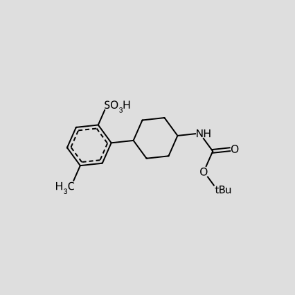 Cc1ccc(S(=O)(=O)O)c(C2CCC(NC(=O)OC(C)(C)C)CC2)c1